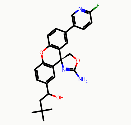 CC(C)(C)CC(O)c1ccc2c(c1)[C@]1(COC(N)=N1)c1cc(-c3ccc(F)nc3)ccc1O2